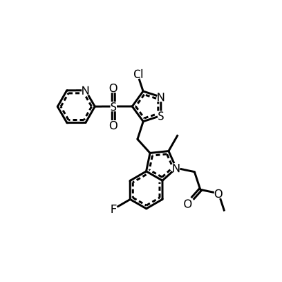 COC(=O)Cn1c(C)c(Cc2snc(Cl)c2S(=O)(=O)c2ccccn2)c2cc(F)ccc21